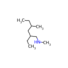 CCC(C)CC(CC)CNC